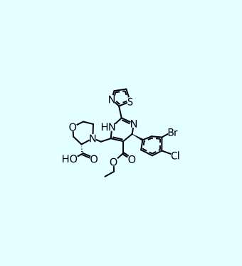 CCOC(=O)C1=C(CN2CCOC[C@H]2C(=O)O)NC(c2nccs2)=N[C@H]1c1ccc(Cl)c(Br)c1